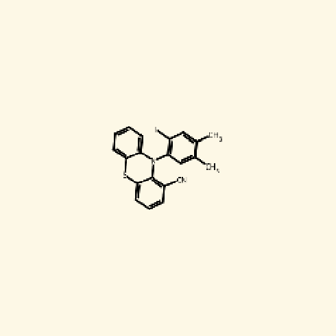 Cc1cc(I)c(N2c3ccccc3Sc3cccc(C#N)c32)cc1C